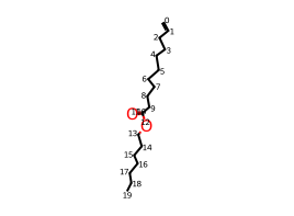 C=CCCCCCCCCC(=O)OCCCCCCC